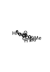 CCC(C)c1cc(C2=CC(=O)N3C=C(N4CCC(NC5CC5)CC4)C=C(C)C3P2)ccc1OC